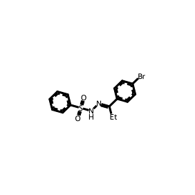 CC/C(=N\NS(=O)(=O)c1ccccc1)c1ccc(Br)cc1